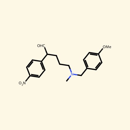 COc1ccc(CN(C)CCCC(C=O)c2ccc([N+](=O)[O-])cc2)cc1